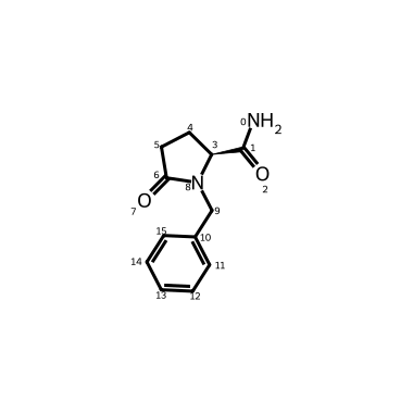 NC(=O)[C@@H]1CCC(=O)N1Cc1ccccc1